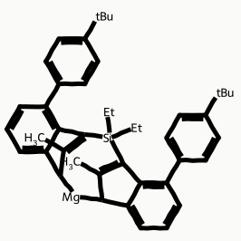 CC[Si]1(CC)C2=C(C)[CH]([Mg][CH]3C(C)=C1c1c(-c4ccc(C(C)(C)C)cc4)cccc13)c1cccc(-c3ccc(C(C)(C)C)cc3)c12